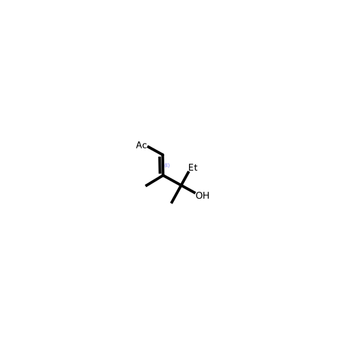 CCC(C)(O)/C(C)=C/C(C)=O